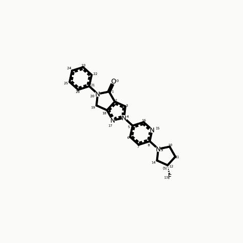 O=C1c2cn(-c3ccc(N4CC[C@H](F)C4)nc3)nc2CN1c1ccccc1